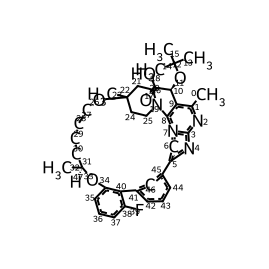 Cc1nc2nc3cn2c(c1[C@H](OC(C)(C)C)C(=O)O)N1CCC(C)(CC1)OCCCC[C@H](C)Oc1cccc(F)c1-c1cccc-3c1